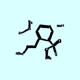 CCCCCCCCCCCCc1ccccc1S(=O)(=O)OCCCC.CCOCC.[NaH]